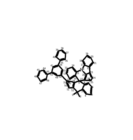 CC1(C)c2ccccc2C2(c3ccccc3-n3c4ccccc4c4cccc2c43)c2cc(-c3cc(-c4ccccc4)cc(-c4ccccc4)c3)ccc21